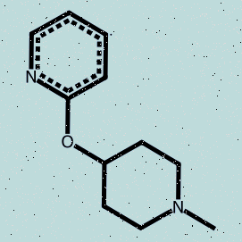 CN1CCC(Oc2c[c]ccn2)CC1